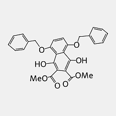 COC(=O)c1c(C(=O)OC)c(O)c2c(OCc3ccccc3)ccc(OCc3ccccc3)c2c1O